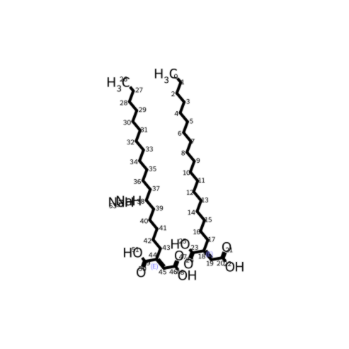 CCCCCCCCCCCCCCCCCC/C(=C\C(=O)O)C(=O)O.CCCCCCCCCCCCCCCCCC/C(=C\C(=O)O)C(=O)O.[NaH].[NaH]